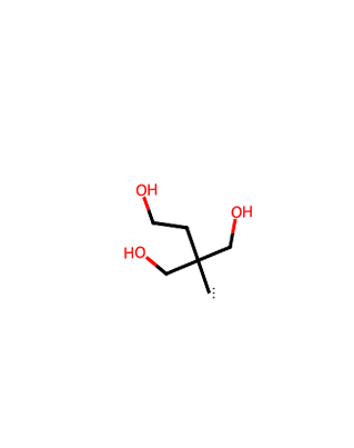 [C]C(CO)(CO)CCO